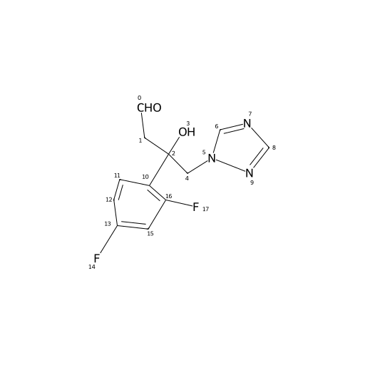 O=CCC(O)(Cn1cncn1)c1ccc(F)cc1F